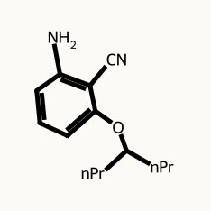 CCCC(CCC)Oc1cccc(N)c1C#N